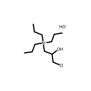 CCC[N+](CCC)(CCC)CC(O)CCl.[OH-]